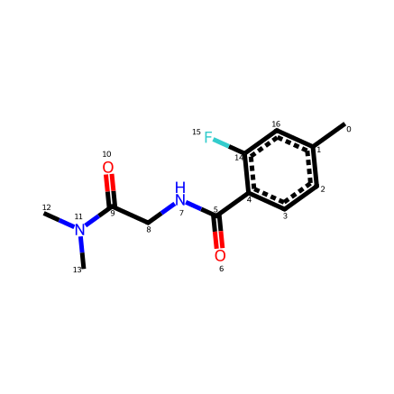 Cc1ccc(C(=O)NCC(=O)N(C)C)c(F)c1